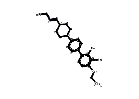 CCOc1ccc(-c2ccc(C3CCC(/C=C/CF)CC3)cc2)c(F)c1F